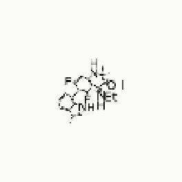 CCN[C@@H]1c2c(cc(F)c(-c3cccc4c(C)c[nH]c34)c2F)NC(C)(C)[C@H]1O